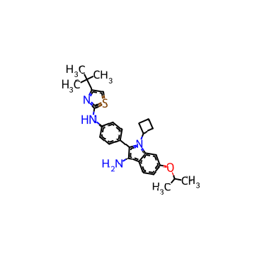 CC(C)Oc1ccc2c(N)c(-c3ccc(Nc4nc(C(C)(C)C)cs4)cc3)n(C3CCC3)c2c1